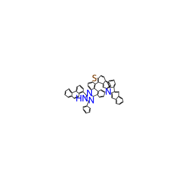 c1ccc(C2N=C(c3ccc(-n4c5ccccc5c5cc6ccccc6cc54)cc3-c3cccc4sc5ccc6ccccc6c5c34)N=C(c3cccc4c3ccc3ccccc34)N2)cc1